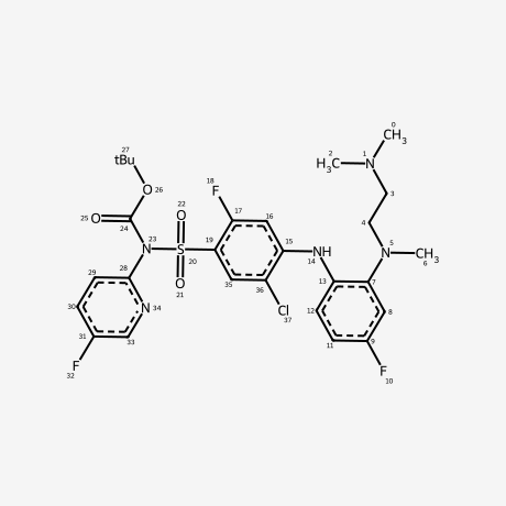 CN(C)CCN(C)c1cc(F)ccc1Nc1cc(F)c(S(=O)(=O)N(C(=O)OC(C)(C)C)c2ccc(F)cn2)cc1Cl